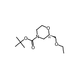 CCOC[C@H]1CN(C(=O)OC(C)(C)C)CCO1